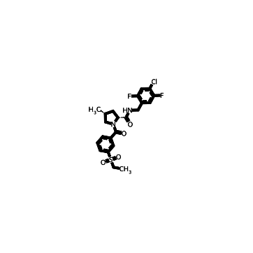 CCS(=O)(=O)c1cccc(C(=O)N2C[C@H](C)C[C@@H]2C(=O)NCc2cc(F)c(Cl)cc2F)c1